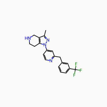 Cc1nn(-c2ccnc(Cc3cccc(C(F)(F)F)c3)c2)c2c1CNCC2